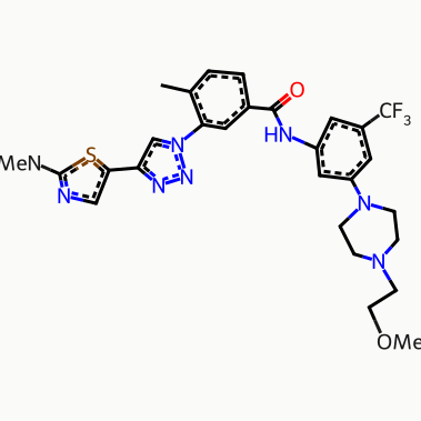 CNc1ncc(-c2cn(-c3cc(C(=O)Nc4cc(N5CCN(CCOC)CC5)cc(C(F)(F)F)c4)ccc3C)nn2)s1